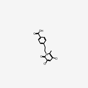 Cc1c(Cl)cc(Cl)c(=O)n1CCc1ccc(C(=O)O)cc1